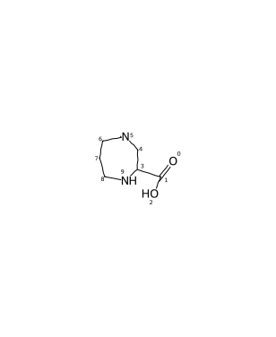 O=C(O)C1C[N]CCCN1